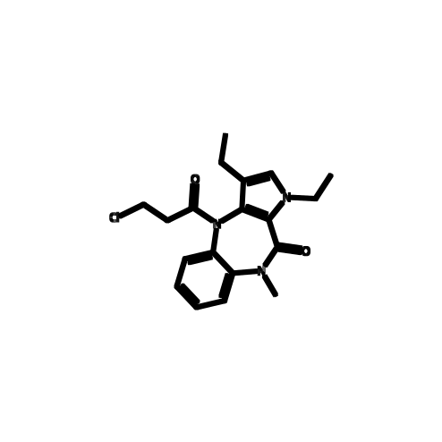 CCc1cn(CC)c2c1N(C(=O)CCCl)c1ccccc1N(C)C2=O